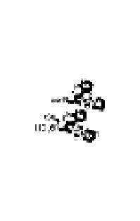 CC(C)(C)CN(Cc1cn(S(=O)(=O)N2CCCCC2)c(-c2cccnc2F)c1F)C(=O)O.CNCc1cn(S(=O)(=O)N2CCCCC2)c(-c2cccnc2F)c1F.Cl